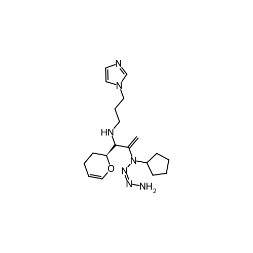 C=C(C(NCCCn1ccnc1)[C@@H]1CCC=CO1)N(/N=N\N)C1CCCC1